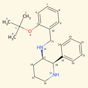 CC(C)(C)Oc1ccccc1CN[C@@H]1CCCN[C@@H]1c1ccccc1